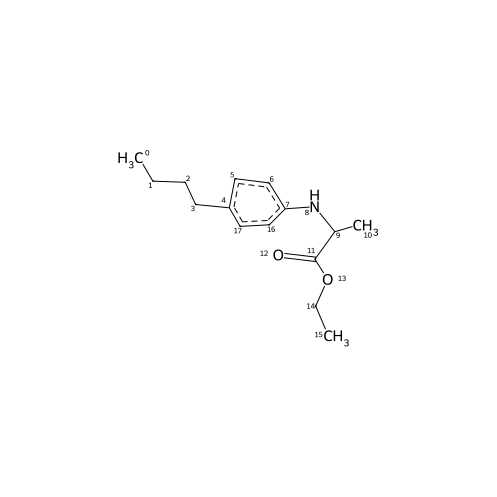 CCCCc1ccc(NC(C)C(=O)OCC)cc1